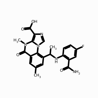 Cc1cc(C(C)Nc2ccc(F)cc2C(N)=O)c2c(c1)c(=O)n(C)c1c(C(=O)O)ncn21